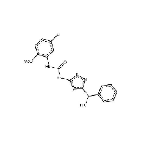 COc1ccc(Cl)cc1NC(=O)Nc1nnc(C(C)c2ccccc2)s1